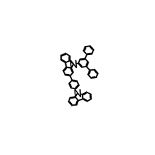 c1ccc(-c2cc(-c3ccccc3)cc(-n3c4ccccc4c4ccc(-c5ccc(-n6c7ccccc7c7ccccc76)cc5)cc43)c2)cc1